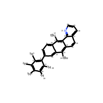 [2H]c1c([2H])c([2H])c(-c2ccc3c(C(C)(C)C)c4c(ccc5cccnc54)c(C(C)(C)C)c3c2)c([2H])c1[2H]